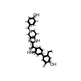 CCc1cc(O)c(F)cc1-c1ccc2c(-c3nc4c([nH]3)CCN(Cc3ccc(O)cc3)C4)n[nH]c2c1